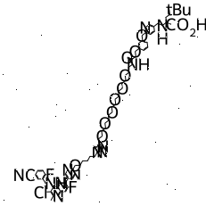 Cc1nc2cc(F)c(-c3cnc(OCCCCCn4cc(COCCOCCOCCOCCOCCOCCNC(=O)COc5cccc(Oc6ccc(CN[C@@H](CCC(C)(C)C)C(=O)O)cn6)c5)nn4)nc3)nc2c(N[C@H](C)c2cc(C#N)ccc2F)c1Cl